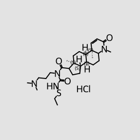 CCSNC(=O)N(CCCN(C)C)C(=O)C1CC[C@H]2[C@@H]3CCC4N(C)C(=O)C=C[C@]4(C)[C@@H]3CC[C@]12C.Cl